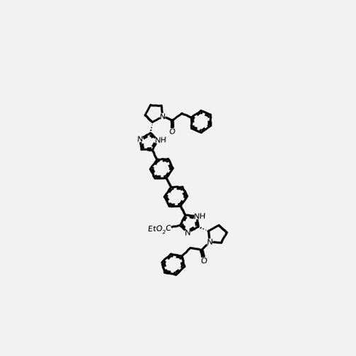 CCOC(=O)c1nc([C@@H]2CCCN2C(=O)Cc2ccccc2)[nH]c1-c1ccc(-c2ccc(-c3cnc([C@@H]4CCCN4C(=O)Cc4ccccc4)[nH]3)cc2)cc1